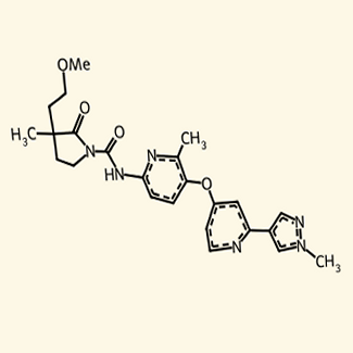 COCCC1(C)CCN(C(=O)Nc2ccc(Oc3ccnc(-c4cnn(C)c4)c3)c(C)n2)C1=O